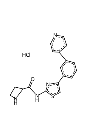 Cl.O=C(Nc1nc(-c2cccc(-c3ccncc3)c2)cs1)C1CCN1